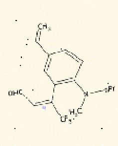 C=Cc1ccc(N(C)CCC)c(/C(=C\C=O)C(F)(F)F)c1